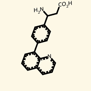 NC(CC(=O)O)c1ccc(-c2cccc3cccnc23)cc1